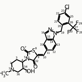 CN1CCC(N2C(=O)SC(=Cc3ccc4c(cnn4Cc4ccc(Cl)cc4C(F)(F)F)c3)C2=O)C(O)C1